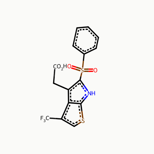 O=C(O)Cc1c(S(=O)(=O)c2ccccc2)[nH]c2scc(C(F)(F)F)c12